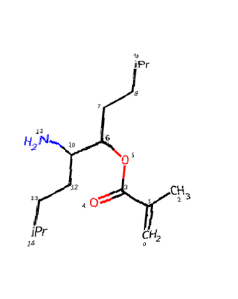 C=C(C)C(=O)OC(CCC(C)C)C(N)CCC(C)C